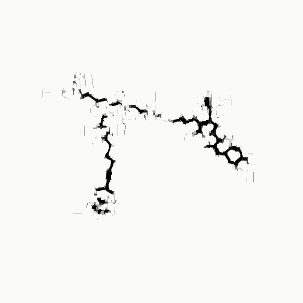 CC[C@@]1(O)C(=O)OC(/C=C/COCNC(=O)CNC(=O)[C@H](CCCCN(C)C)NC(=O)[C@@H](NC(=O)CCCC#Cc2cnc(S(C)(=O)=O)nc2)C(C)C)c2c1cc1n(c2=O)Cc2cc3cc(C)c(F)cc3nc2-1